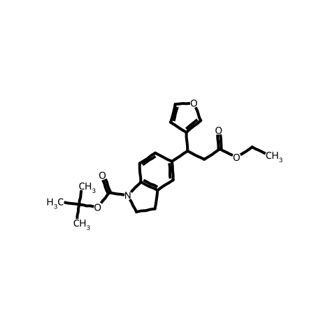 CCOC(=O)CC(c1ccoc1)c1ccc2c(c1)CCN2C(=O)OC(C)(C)C